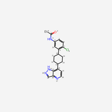 CCC(=O)Nc1ccc(Cl)c(C2CCC(c3ccnc4cn[nH]c34)CC2)c1